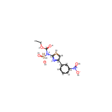 CCOC(=O)N(c1nc(-c2cccc([N+](=O)[O-])c2)cs1)[SH](=O)=O